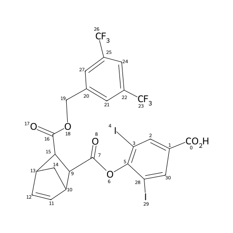 O=C(O)c1cc(I)c(OC(=O)C2C3C=CC(C3)C2C(=O)OCc2cc(C(F)(F)F)cc(C(F)(F)F)c2)c(I)c1